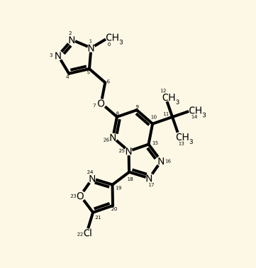 Cn1nncc1COc1cc(C(C)(C)C)c2nnc(-c3cc(Cl)on3)n2n1